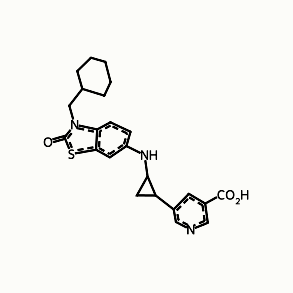 O=C(O)c1cncc(C2CC2Nc2ccc3c(c2)sc(=O)n3CC2CCCCC2)c1